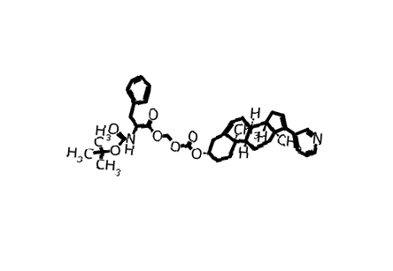 CC(C)(C)OC(=O)NC(Cc1ccccc1)C(=O)OCOC(=O)O[C@H]1CC[C@@]2(C)C(=CC[C@@H]3[C@@H]2CC[C@]2(C)C(c4cccnc4)=CC[C@@H]32)C1